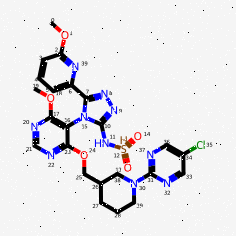 COc1cccc(-c2nnc(N[SH](=O)=O)n2-c2c(OC)ncnc2OCC2CCCN(c3ncc(Cl)cn3)C2)n1